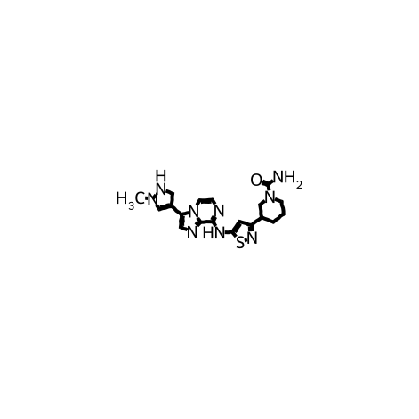 CN1C=C(c2cnc3c(Nc4cc(C5CCCN(C(N)=O)C5)ns4)nccn23)CN1